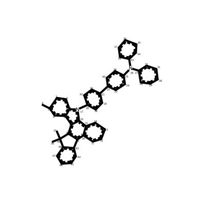 Cc1ccc2c(c1)c1c3c(c4ccccc4c1n2-c1ccc(-c2ccc(N(c4ccccc4)c4ccccc4)cc2)cc1)-c1ccccc1C3(C)C